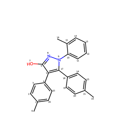 Cc1ccc(-c2c(O)nn(-c3ccccc3C)c2-c2ccc(C)cc2)cc1